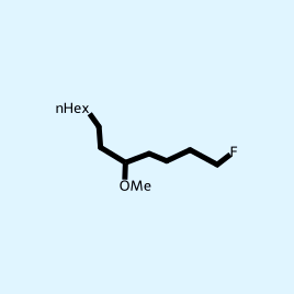 CCCCCCCCC(CCCCF)OC